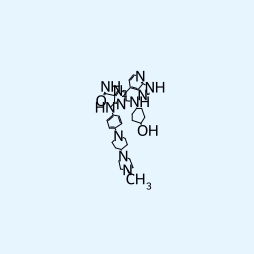 CN1CCN(C2CCN(c3ccc(Nc4nc(N[C@H]5CC[C@H](O)CC5)c(-c5ccnc6[nH]cnc56)nc4C(N)=O)cc3)CC2)CC1